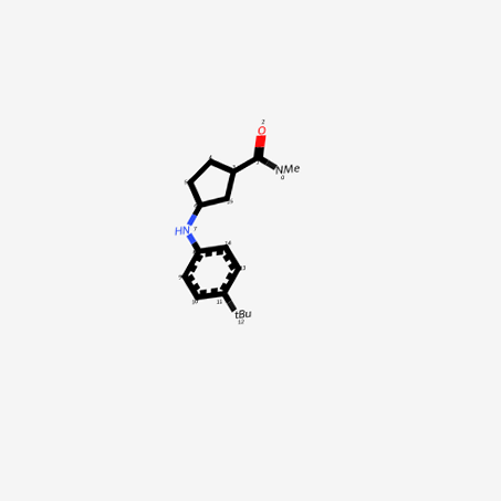 CNC(=O)C1CCC(Nc2ccc(C(C)(C)C)cc2)C1